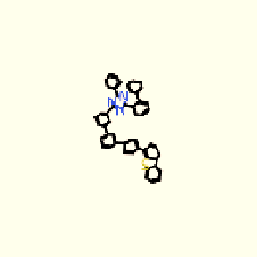 c1ccc(-c2nc(-c3cccc(-c4cccc(-c5ccc(-c6cccc7c6sc6ccccc67)cc5)c4)c3)nc(-c3ccccc3-c3ccccc3)n2)cc1